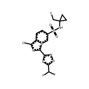 O=S(=O)(NC1(CF)CC1)c1ccc2c(Cl)nc(-c3nnc(C(F)F)s3)n2c1